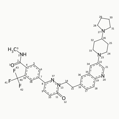 CNC(=O)c1ccc(-c2ccc(=O)n(CCc3ccc4ncc(N5CCC(N6CCCC6)CC5)cc4c3)n2)cc1C(F)(F)F